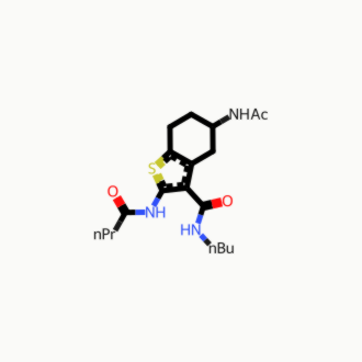 CCCCNC(=O)c1c(NC(=O)CCC)sc2c1CC(NC(C)=O)CC2